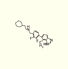 Cc1c(-c2ccc(CNCCC3CCCCC3)c(F)c2F)ccc2nc[nH]c12